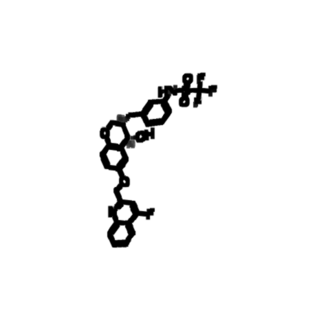 O=S(=O)(Nc1cccc(C[C@H]2COc3ccc(OCc4cc(F)c5ccccc5n4)cc3[C@H]2O)c1)C(F)(F)F